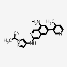 Cc1ccncc1-c1cc(N)c2cnc(Nc3cnn(C(C)C#N)c3)cc2c1